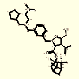 C=C(C)[C@@H]1[C@H](CO)ON(Cc2cccc(CN(CCN(C)C)CC3CCCC3)c2)[C@@H]1C(=O)N[C@H]1CC2CC([C@@H]1C)C2(C)C